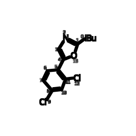 CCC(C)c1ncc(-c2ccc(Cl)cc2Cl)o1